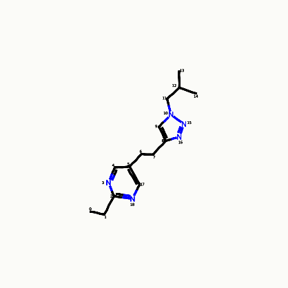 CCc1ncc(CCc2cn(CC(C)C)nn2)cn1